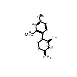 C=C1CCC(c2ccc(C(C)(C)C)nc2OC)C(=O)N1